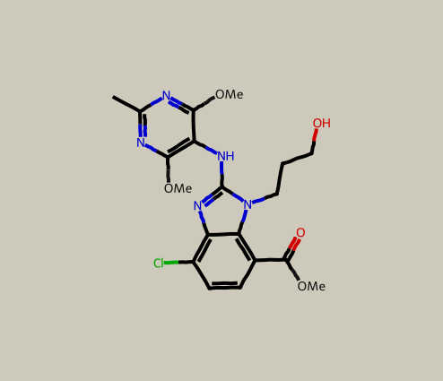 COC(=O)c1ccc(Cl)c2nc(Nc3c(OC)nc(C)nc3OC)n(CCCO)c12